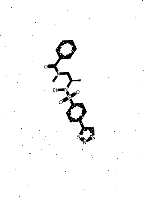 CCN([C@H](C)CN(C)C(=O)c1ccccc1)S(=O)(=O)c1ccc(-c2csnn2)cc1